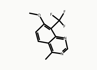 COc1ccc2c(C)ncnc2c1C(F)(F)F